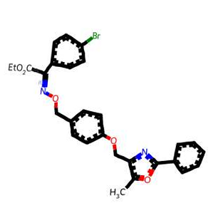 CCOC(=O)/C(=N/OCc1ccc(OCc2nc(-c3ccccc3)oc2C)cc1)c1ccc(Br)cc1